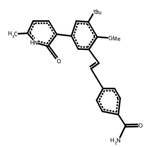 COc1c(C=Cc2ccc(C(N)=O)cc2)cc(-c2ccc(C)[nH]c2=O)cc1C(C)(C)C